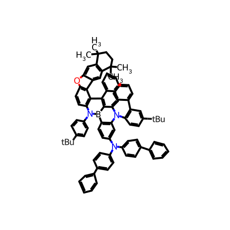 CC(C)(C)c1ccc(N2B3c4ccc(N(c5ccc(-c6ccccc6)cc5)c5ccc(-c6ccccc6)cc5)cc4N(c4ccc(C(C)(C)C)cc4-c4ccccc4)c4cc5ccccc5c(c43)-c3c2ccc2oc4cc5c(cc4c32)C(C)(C)CCC5(C)C)cc1